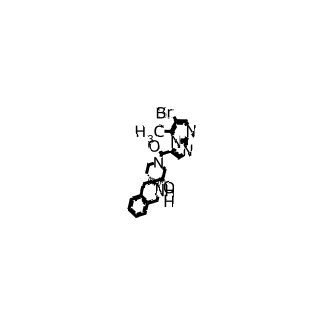 Cc1c(Br)cnc2ncc(C(=O)N3CC[C@]4(Cc5ccccc5CN4)[C@H](O)C3)n12